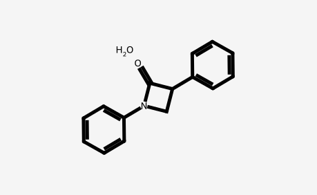 O.O=C1C(c2ccccc2)CN1c1ccccc1